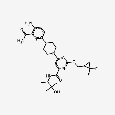 C[C@@H](NC(=O)c1cc(N2CCC(c3ccc(N)c(C(N)=O)n3)CC2)nc(OCC2CC2(F)F)n1)C(C)(C)O